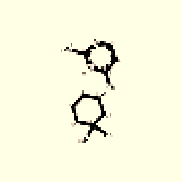 CC(C)c1nccc(O[C@H]2CCCC(F)(F)C2)n1